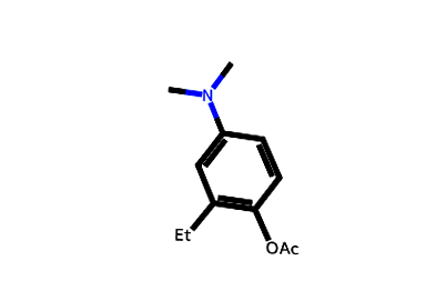 CCc1cc(N(C)C)ccc1OC(C)=O